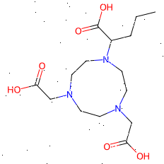 CCCC(C(=O)O)N1CCN(CC(=O)O)CCN(CC(=O)O)CC1